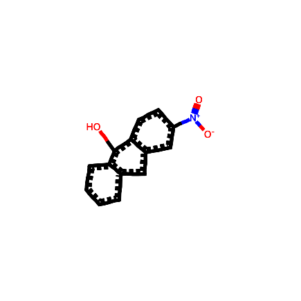 O=[N+]([O-])c1ccc2c(O)c3ccccc3cc2c1